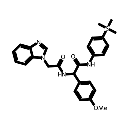 COc1ccc(C(NC(=O)Cn2cnc3ccccc32)C(=O)Nc2ccc(S(C)(C)C)cc2)cc1